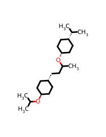 CC(C)O[C@H]1CC[C@H](CCC(C)O[C@H]2CC[C@@H](C(C)C)CC2)CC1